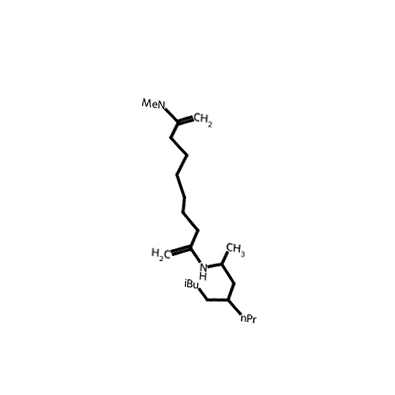 C=C(CCCCCCC(=C)NC(C)CC(CCC)CC(C)CC)NC